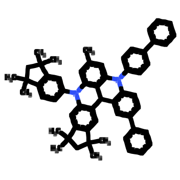 Cc1cc2c3c(c1)N(c1ccc4c(c1)C(C)(C)CC4(C)C)c1cc4c(cc1C3c1cc(-c3ccccc3)ccc1N2c1ccc(-c2ccccc2)cc1)C(C)(C)CC4(C)C